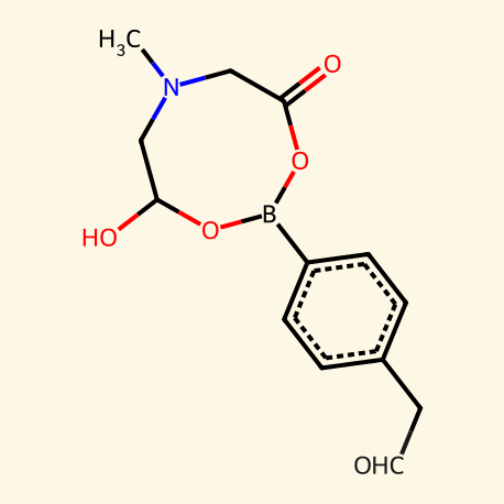 CN1CC(=O)OB(c2ccc(CC=O)cc2)OC(O)C1